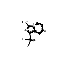 Oc1nc(C(F)(F)F)c2ccccn12